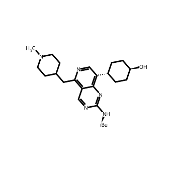 CC[C@H](C)Nc1ncc2c(CC3CCN(C)CC3)ncc([C@H]3CC[C@H](O)CC3)c2n1